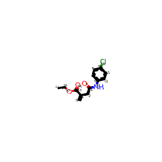 C=C(CC(=O)Nc1ccc(Cl)cc1)C(=O)OCC